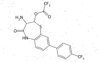 NC1C(=O)Nc2ccc(-c3ccc(C(F)(F)F)cc3)cc2SC1OC(=O)C(F)(F)F